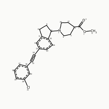 COC(=O)C1CCN(C2CCc3cc(C#Cc4cccc(Cl)c4)ccc32)CC1